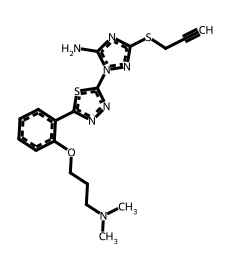 C#CCSc1nc(N)n(-c2nnc(-c3ccccc3OCCCN(C)C)s2)n1